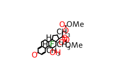 COC(=O)OCC(=O)[C@@]1(OC(=O)OC)[C@H](C)C[C@H]2[C@@H]3CCC4=CC(=O)C=C[C@]4(C)[C@@]3(F)[C@@H](O)C[C@@]21C